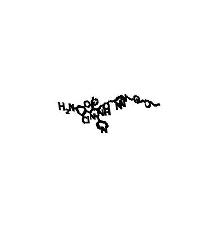 CCCOCCOCCn1cc(COCC2=C(C(=O)OC)C(c3ccc(N)cc3Cl)N=C(c3ccncc3)N2)nn1